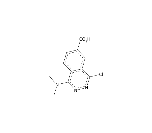 CN(C)c1nnc(Cl)c2cc(C(=O)O)ccc12